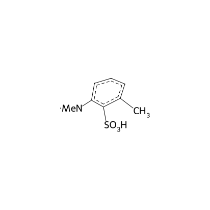 C[N]c1cccc(C)c1S(=O)(=O)O